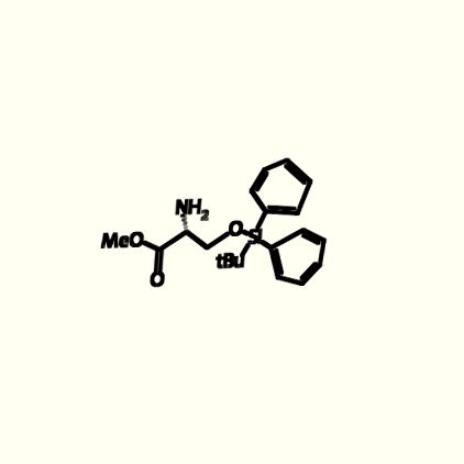 COC(=O)[C@H](N)CO[Si](c1ccccc1)(c1ccccc1)C(C)(C)C